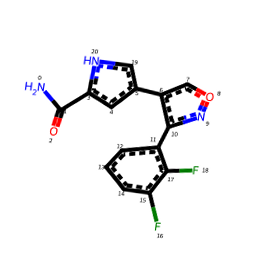 NC(=O)c1cc(-c2conc2-c2cccc(F)c2F)c[nH]1